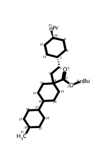 CCCCOC(=O)C1(CC[C@H]2CC[C@H](CCC)CC2)CCC(C2CCC(C)CC2)CC1